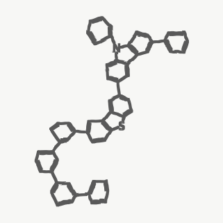 c1ccc(-c2cccc(-c3cccc(-c4cccc(-c5ccc6sc7ccc(-c8ccc9c(c8)c8cc(-c%10ccccc%10)ccc8n9-c8ccccc8)cc7c6c5)c4)c3)c2)cc1